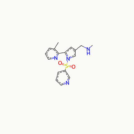 CNCc1cc(-c2ncccc2C)n(S(=O)(=O)c2cccnc2)c1